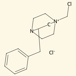 ClC[N+]12CCN(CC1)C(Cc1ccccc1)C2.[Cl-]